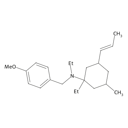 CC=CC1CC(C)CC(CC)(N(CC)Cc2ccc(OC)cc2)C1